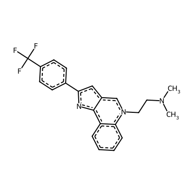 CN(C)CCn1cc2cc(-c3ccc(C(F)(F)F)cc3)nc-2c2ccccc21